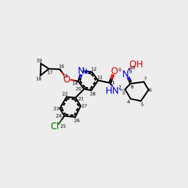 O=C(N[C@H]1CCCCC1=NO)c1cnc(OCC2CC2)c(-c2ccc(Cl)cc2)c1